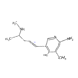 CNC(C)C/C=C/c1cnc(N)c(C)c1O